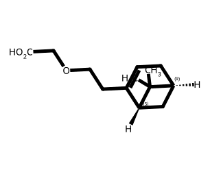 CC1(C)[C@H]2CC=C(CCOCC(=O)O)[C@H]1C2